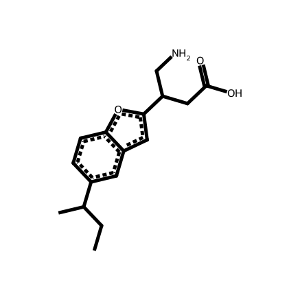 CCC(C)c1ccc2oc(C(CN)CC(=O)O)cc2c1